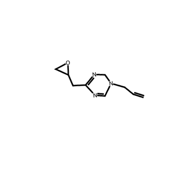 C=CCN1C=NC(CC2CO2)=NC1